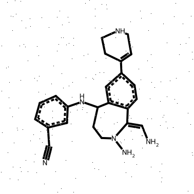 N#Cc1cccc(NC2CCN(N)/C(=C\N)c3ccc(C4=CCNCC4)cc32)c1